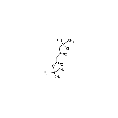 CC(O)(Cl)CC(=O)CC(=O)OC(C)(C)C